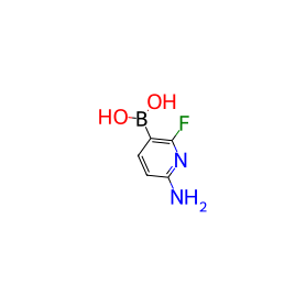 Nc1ccc(B(O)O)c(F)n1